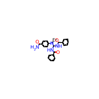 CCN([C](NC(=O)c1ccccc1)NC(=O)c1ccccc1)c1ccc(C(N)=O)cc1